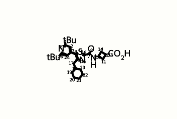 CC(C)(C)c1cc(-c2sc(C(=O)N[C@H]3C[C@H](C(=O)O)C3)nc2CC2CCCCC2)cc(C(C)(C)C)n1